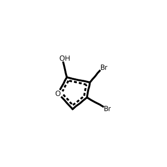 Oc1occ(Br)c1Br